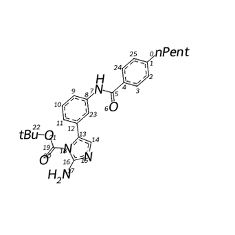 CCCCCc1ccc(C(=O)Nc2cccc(-c3cnc(N)n3C(=O)OC(C)(C)C)c2)cc1